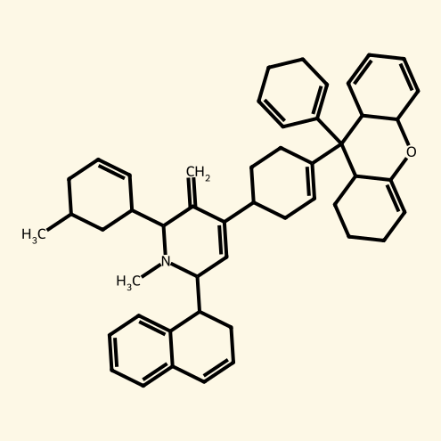 C=C1C(C2CC=C(C3(C4=CCCC=C4)C4CCCC=C4OC4C=CC=CC43)CC2)=CC(C2CC=Cc3ccccc32)N(C)C1C1C=CCC(C)C1